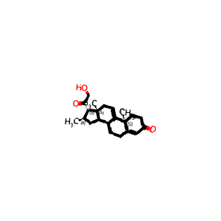 C[C@@H]1CC2C3CCC4=CC(=O)CC[C@]4(C)C3=CC[C@]2(C)[C@H]1C(=O)CO